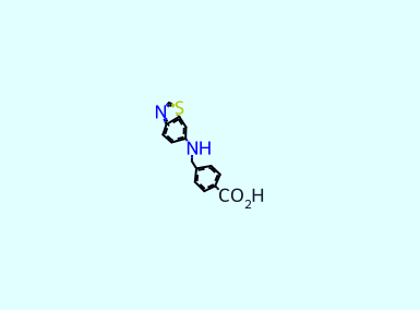 O=C(O)c1ccc(CNc2ccc3ncsc3c2)cc1